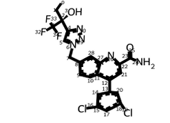 CC[C@](O)(c1cn(Cc2ccc3c(-c4cc(Cl)cc(Cl)c4)cc(C(N)=O)nc3c2)nn1)C(F)(F)F